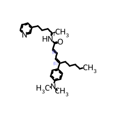 CCCCC/C(=C\C=C\C(=O)N[C@H](C)CCCc1cccnc1)c1ccc(N(C)C)cc1